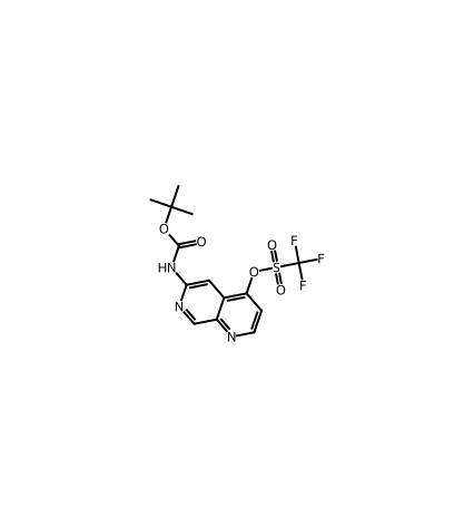 CC(C)(C)OC(=O)Nc1cc2c(OS(=O)(=O)C(F)(F)F)ccnc2cn1